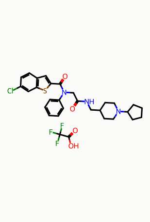 O=C(CN(C(=O)c1cc2ccc(Cl)cc2s1)c1ccccc1)NCC1CCN(C2CCCC2)CC1.O=C(O)C(F)(F)F